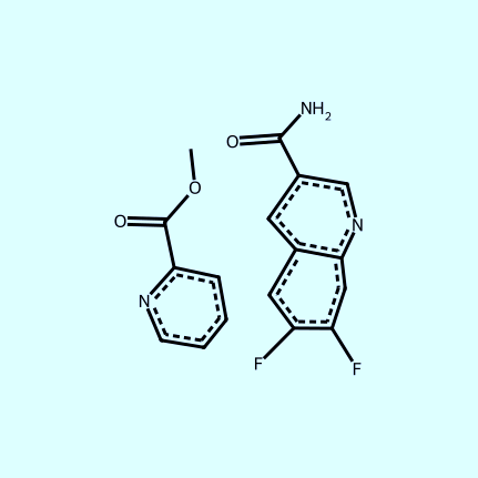 COC(=O)c1ccccn1.NC(=O)c1cnc2cc(F)c(F)cc2c1